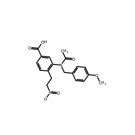 COc1ccc(CN(C(C)=O)c2cc(C(=O)O)ccc2CC[N+](=O)[O-])cc1